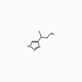 CCCCCC([S])c1c[nH]nn1